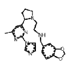 Cc1cc(C2CCCN2CCNCc2ccc3c(c2)OCO3)nc(-n2ccnc2)n1